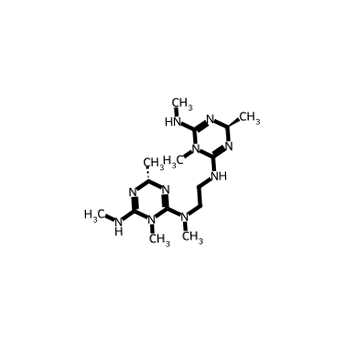 CNC1=N[C@@H](C)N=C(NCCN(C)C2=N[C@@H](C)N=C(NC)N2C)N1C